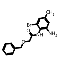 Cc1cc(N)c(NC(=O)COCc2ccccc2)c(Br)c1